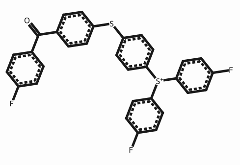 O=C(c1ccc(F)cc1)c1ccc(Sc2ccc([S+](c3ccc(F)cc3)c3ccc(F)cc3)cc2)cc1